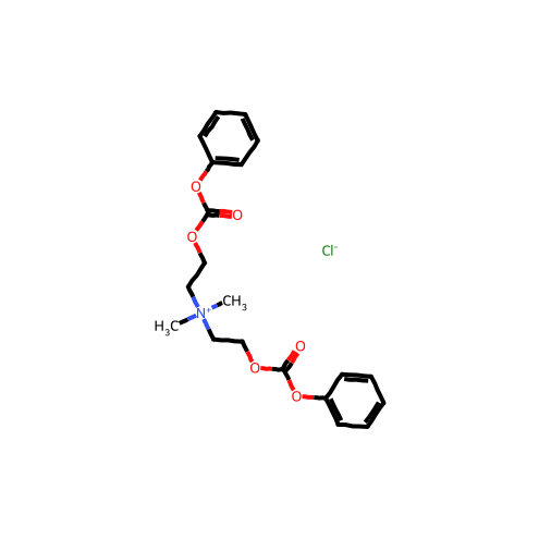 C[N+](C)(CCOC(=O)Oc1ccccc1)CCOC(=O)Oc1ccccc1.[Cl-]